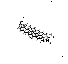 CCCCCCCCCCCC[O-].CCCCCCCCCCCC[O-].CCCCCCCCCCCC[O-].[Sb+3]